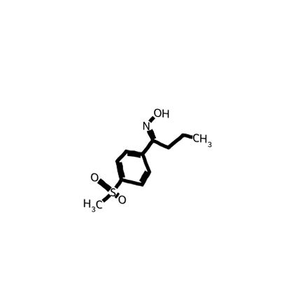 CCCC(=NO)c1ccc(S(C)(=O)=O)cc1